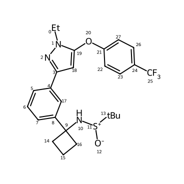 CCn1nc(-c2cccc(C3(N[S+]([O-])C(C)(C)C)CCC3)c2)cc1Oc1ccc(C(F)(F)F)cc1